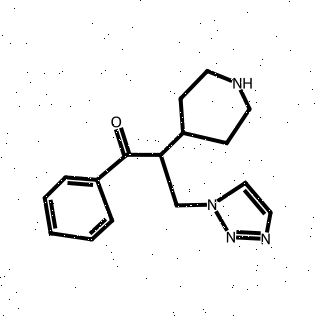 O=C(c1ccccc1)C(Cn1ccnn1)C1CCNCC1